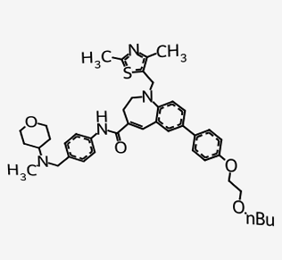 CCCCOCCOc1ccc(-c2ccc3c(c2)C=C(C(=O)Nc2ccc(CN(C)C4CCOCC4)cc2)CCN3Cc2sc(C)nc2C)cc1